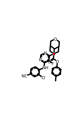 Cc1ccc(OC(=O)N2CC3COCC(C2)C3Oc2ncnc(Nc3ccc(C#N)cc3Cl)c2F)cc1